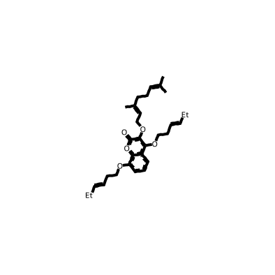 CCC=CCCOc1c(OC/C=C(\C)CCC=C(C)C)c(=O)oc2c(OCCC=CCC)cccc12